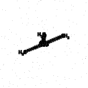 CCCCCCCCCCCCCCCCCC(=O)NC(COC(=O)CCCCCCCCCCCCCCCCC)C(=O)OCCOCCOC